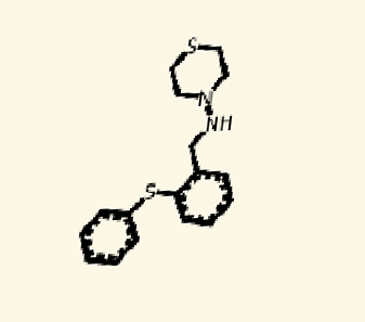 c1ccc(Sc2ccccc2CNN2CCSCC2)cc1